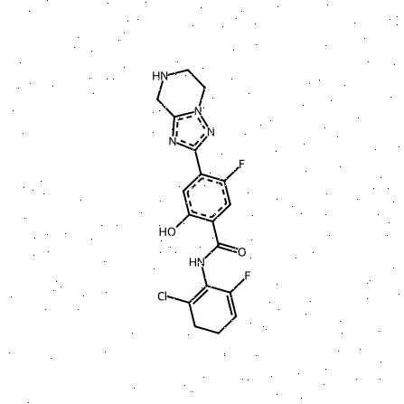 O=C(NC1=C(Cl)CCC=C1F)c1cc(F)c(-c2nc3n(n2)CCNC3)cc1O